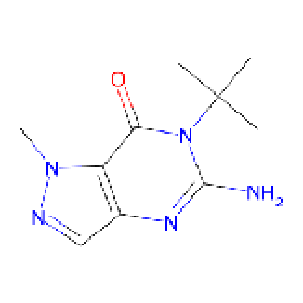 Cn1ncc2nc(N)n(C(C)(C)C)c(=O)c21